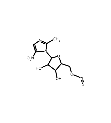 Cc1ncc([N+](=O)[O-])n1C1OC(CON=S)C(O)C1O